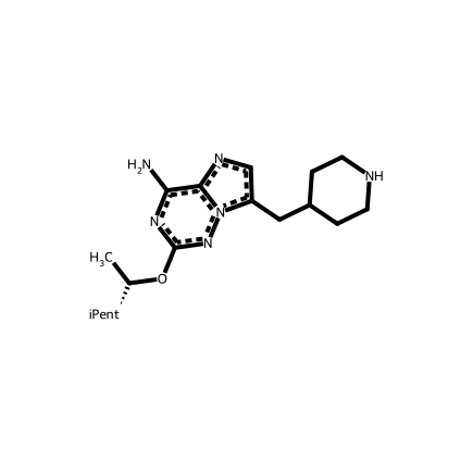 CCC[C@@H](C)C(C)Oc1nc(N)c2ncc(CC3CCNCC3)n2n1